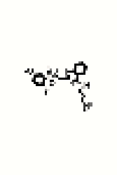 COc1ccc(OC)c(S(=O)(=O)N(C)Cc2nc(NCCCN(C)C)c3ccccc3n2)c1